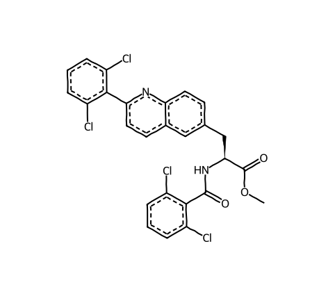 COC(=O)[C@H](Cc1ccc2nc(-c3c(Cl)cccc3Cl)ccc2c1)NC(=O)c1c(Cl)cccc1Cl